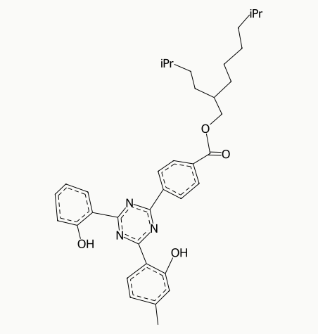 Cc1ccc(-c2nc(-c3ccc(C(=O)OCC(CCCCC(C)C)CCC(C)C)cc3)nc(-c3ccccc3O)n2)c(O)c1